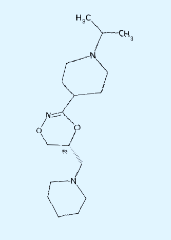 CC(C)N1CCC(C2=NOC[C@@H](CN3CCCCC3)O2)CC1